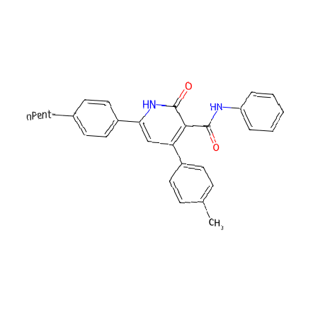 CCCCCc1ccc(-c2cc(-c3ccc(C)cc3)c(C(=O)Nc3ccccc3)c(=O)[nH]2)cc1